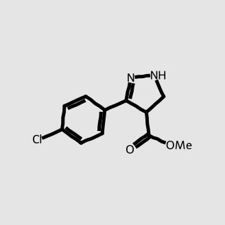 COC(=O)C1CNN=C1c1ccc(Cl)cc1